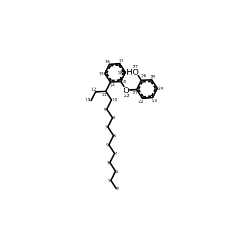 CCCCCCCCCCCC(CC)c1ccccc1Oc1ccccc1O